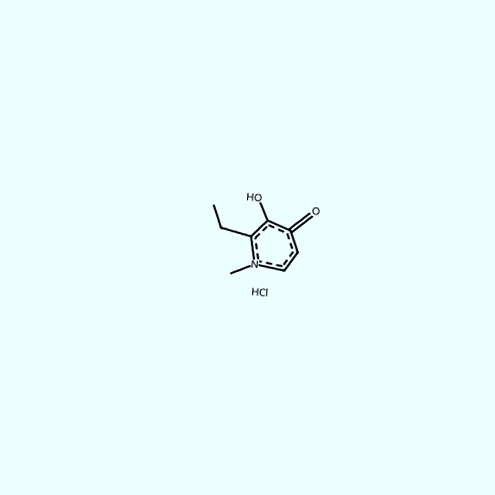 CCc1c(O)c(=O)ccn1C.Cl